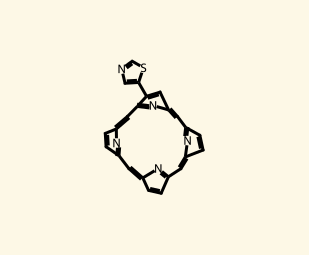 C1=CC2=NC1=CC1=NC(=CC3=NC(=CC4=NC(=C2)C=C4)C=C3c2cncs2)C=C1